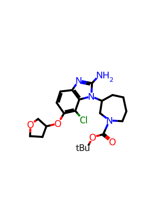 CC(C)(C)OC(=O)N1CCCCC(n2c(N)nc3ccc(OC4CCOC4)c(Cl)c32)C1